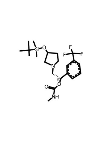 CNC(=O)O[C@H](CN1CCC(O[Si](C)(C)C(C)(C)C)C1)c1cccc(C(F)(F)F)c1